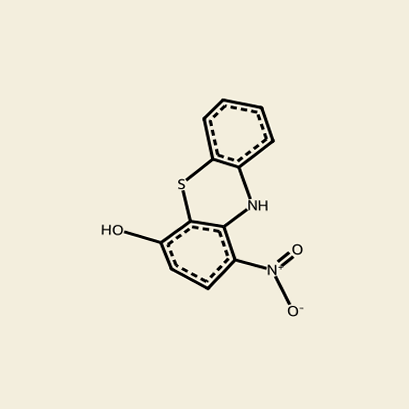 O=[N+]([O-])c1ccc(O)c2c1Nc1ccccc1S2